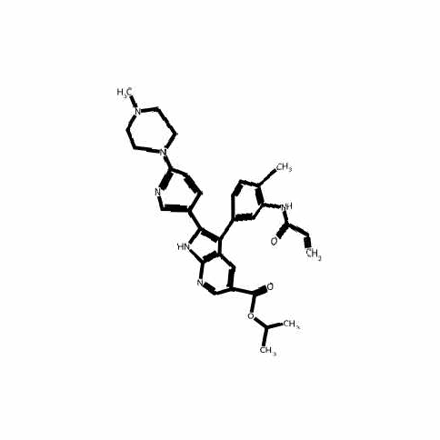 C=CC(=O)Nc1cc(-c2c(-c3ccc(N4CCN(C)CC4)nc3)[nH]c3ncc(C(=O)OC(C)C)cc23)ccc1C